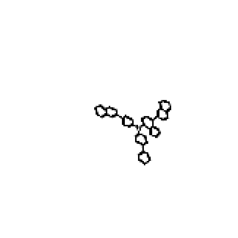 c1ccc(-c2ccc(N(c3ccc(-c4ccc5ccccc5c4)cc3)c3ccc(-c4ccc5ccccc5c4)c4ccccc34)cc2)cc1